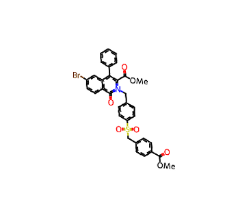 COC(=O)c1ccc(CS(=O)(=O)c2ccc(Cn3c(C(=O)OC)c(-c4ccccc4)c4cc(Br)ccc4c3=O)cc2)cc1